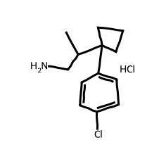 CC(CN)C1(c2ccc(Cl)cc2)CCC1.Cl